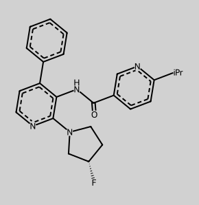 CC(C)c1ccc(C(=O)Nc2c(-c3ccccc3)ccnc2N2CC[C@H](F)C2)cn1